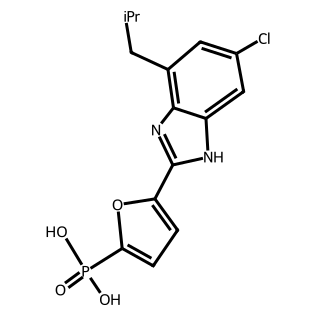 CC(C)Cc1cc(Cl)cc2[nH]c(-c3ccc(P(=O)(O)O)o3)nc12